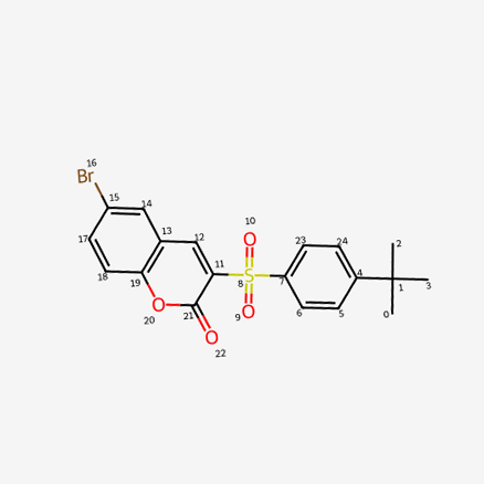 CC(C)(C)c1ccc(S(=O)(=O)c2cc3cc(Br)ccc3oc2=O)cc1